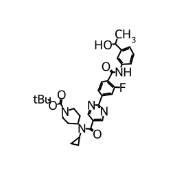 CC(O)c1cccc(NC(=O)c2ccc(-c3ncc(C(=O)N(C4CC4)C4CCN(C(=O)OC(C)(C)C)CC4)cn3)cc2F)c1